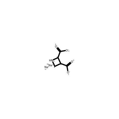 O=C([O-])C1CNC1C(=O)[O-].[Na+].[Na+]